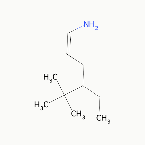 CCC(C/C=C\N)C(C)(C)C